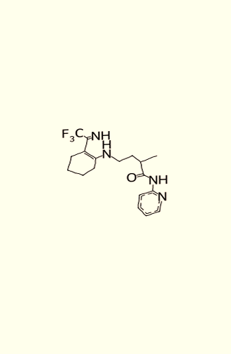 CC(CCNC1=C(C(=N)C(F)(F)F)CCCC1)C(=O)Nc1ccccn1